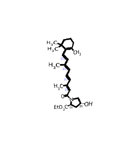 CCOC(=O)[C@@H]1C[C@@H](O)CN1C(=O)/C=C(C)/C=C/C=C(C)/C=C/C1=C(C)CCCC1(C)C